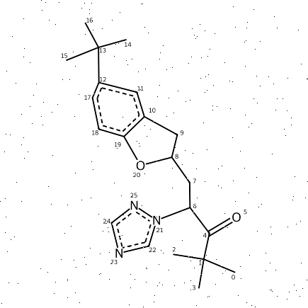 CC(C)(C)C(=O)C(CC1Cc2cc(C(C)(C)C)ccc2O1)n1cncn1